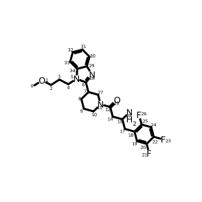 COCCCn1c(C2CCCN(C(=O)CC(N)Cc3cc(F)c(F)cc3F)C2)nc2ccccc21